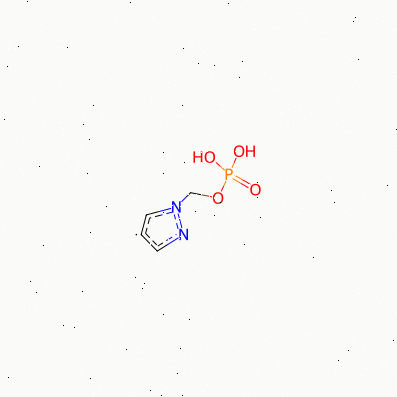 O=P(O)(O)OCn1c[c]cn1